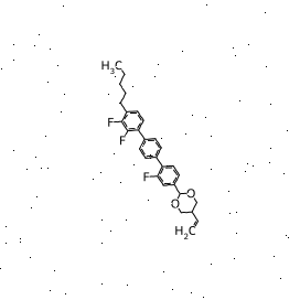 C=CC1COC(c2ccc(-c3ccc(-c4ccc(CCCCC)c(F)c4F)cc3)c(F)c2)OC1